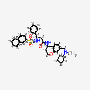 CN(Cc1ccc2c(c1)OCCC2NC(=O)C[C@@H](NS(=O)(=O)c1ccc2ccccc2c1)c1ccccc1)C1CCCC1